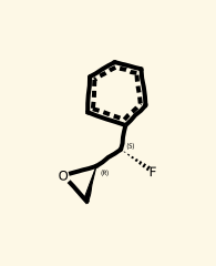 F[C@@H](c1ccccc1)[C@H]1CO1